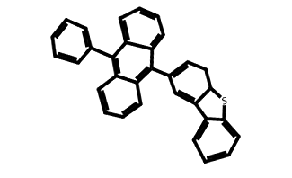 C1=C(c2c3ccccc3c(-c3ccccc3)c3ccccc23)C=C2c3ccccc3SC2C1